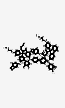 C=C/C=C\C1=C(C)c2ccc(N(c3ccc(-c4ccc(N(c5ccc(C)c(F)c5)c5ccc6c(c5)C(c5ccc(OCCOCC)cc5)(c5ccc(Oc7ccc8c(c7)CC8)cc5)c5ccccc5-6)cc4)cc3)c3ccc(C)c(F)c3)cc2C1(c1ccc(OCCOCC)cc1)c1ccc(Oc2ccc3c(c2)CC3)cc1